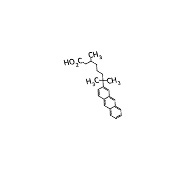 CC(CCCC(C)(C)c1ccc2cc3ccccc3cc2c1)CC(=O)O